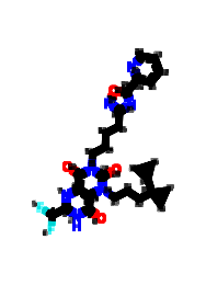 O=c1[nH]c(C(F)F)nc2c(=O)n(CCCCc3noc(-c4ccccn4)n3)c(=O)n(CCCC3(C4CC4)CC3)c12